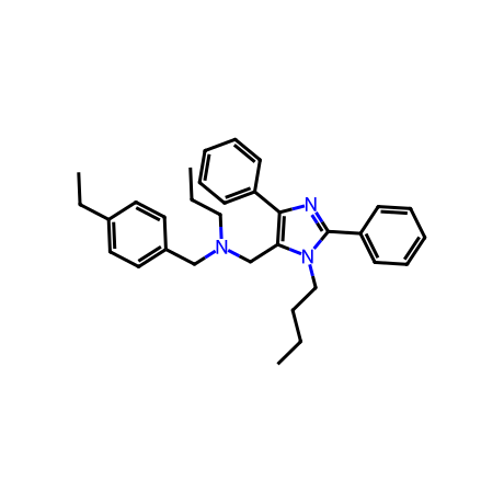 CCCCn1c(-c2ccccc2)nc(-c2ccccc2)c1CN(CCC)Cc1ccc(CC)cc1